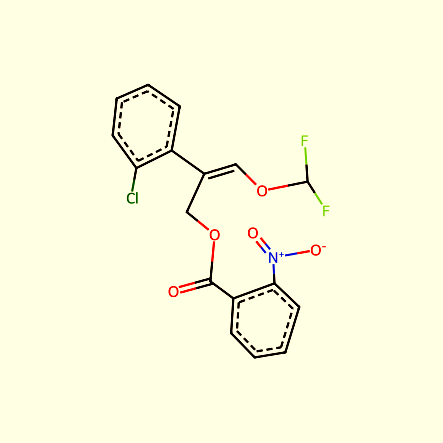 O=C(OCC(=COC(F)F)c1ccccc1Cl)c1ccccc1[N+](=O)[O-]